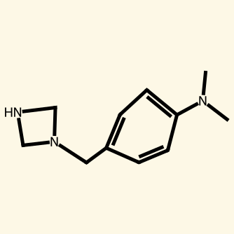 CN(C)c1ccc(CN2CNC2)cc1